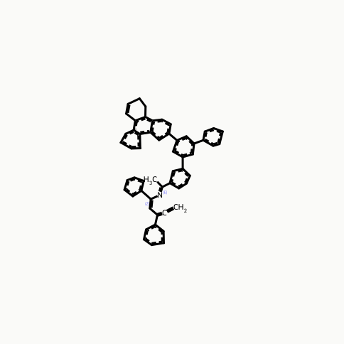 C=C=C(/C=C(\N=C(/C)c1cccc(-c2cc(-c3ccccc3)cc(-c3ccc4c5c(c6ccccc6c4c3)C=CCC5)c2)c1)c1ccccc1)c1ccccc1